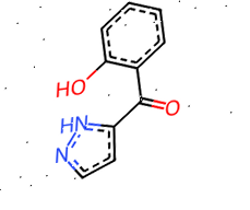 O=C(c1ccn[nH]1)c1ccccc1O